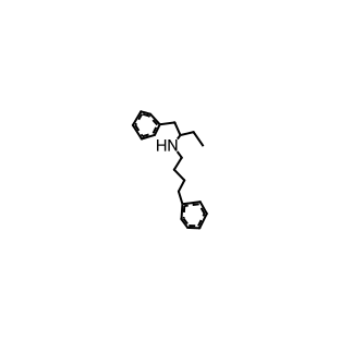 CCC(Cc1ccccc1)NCCCCc1ccccc1